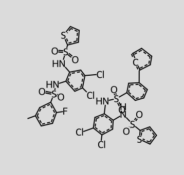 Cc1ccc(F)c(S(=O)(=O)Nc2cc(Cl)c(Cl)cc2NS(=O)(=O)c2cccs2)c1.O=S(=O)(Nc1cc(Cl)c(Cl)cc1NS(=O)(=O)c1cccs1)c1cccc(-c2ccccc2)c1